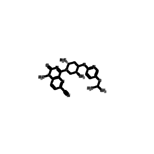 CC(C)Oc1ccc(OC2C[C@@H](C)N(c3nc(=O)n(C)c4ccc(C#N)nc34)C[C@@H]2C)nc1